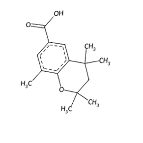 Cc1cc(C(=O)O)cc2c1OC(C)(C)CC2(C)C